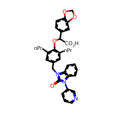 CCCc1cc(Cn2c(=O)n(-c3cccnc3)c3ccccc32)cc(CCC)c1OC(C(=O)O)c1ccc2c(c1)OCO2